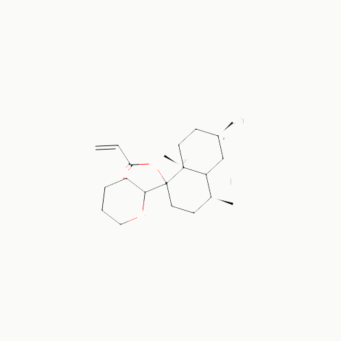 C=CC(=O)OC1(C2CCCCO2)CC[C@H](C)[C@@H]2C[C@H](C(C)C)CC[C@]21C